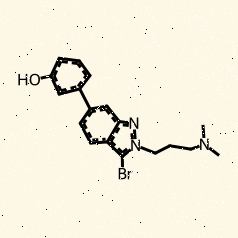 CN(C)CCCn1nc2cc(-c3cccc(O)c3)ccc2c1Br